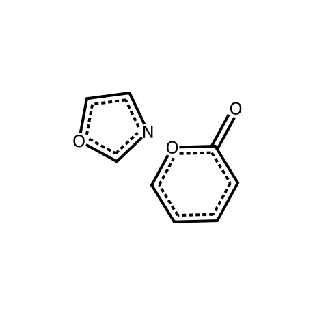 O=c1cccco1.c1cocn1